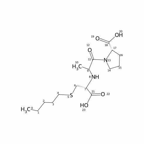 CCCCCSC[C@H](NC(C)C(=O)N1CCC[C@H]1C(=O)O)C(=O)O